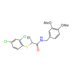 CCC(Sc1ccc(Cl)cc1Cl)C(=O)NCc1ccc(OC)c(OC)c1